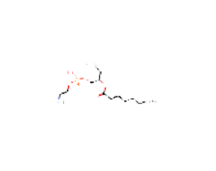 CCCCCCCCCCCCCCCC(=O)OC(COC(C)=O)COP(=O)(O)OCCN